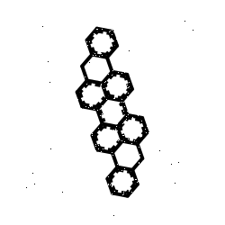 c1ccc2c(c1)Cc1ccc3c4ccc5c6c(ccc(c7ccc-2c1c37)c64)Cc1ccccc1-5